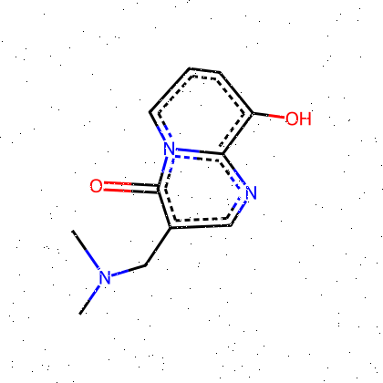 CN(C)Cc1cnc2c(O)cccn2c1=O